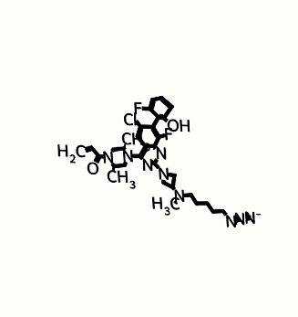 C=CC(=O)N1C[C@H](C)N(c2nc(N3CC(N(C)CCCCCN=[N+]=[N-])C3)nc3c(F)c(-c4c(O)cccc4F)c(Cl)cc23)C[C@H]1C